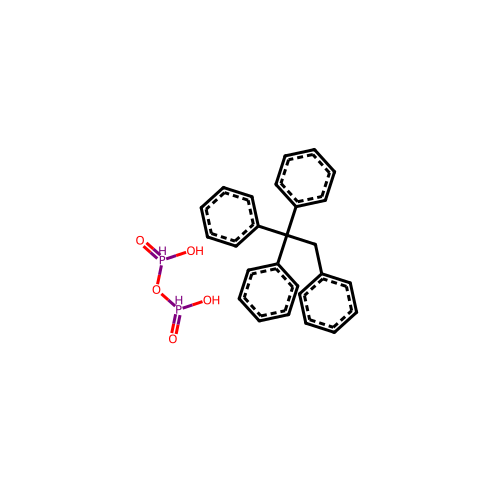 O=[PH](O)O[PH](=O)O.c1ccc(CC(c2ccccc2)(c2ccccc2)c2ccccc2)cc1